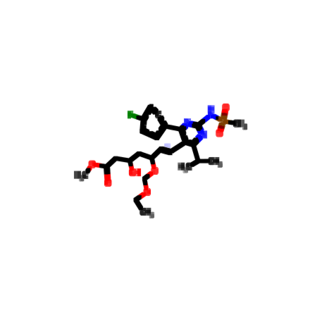 CCOCOC(/C=C/c1c(-c2ccc(F)cc2)nc(NS(C)(=O)=O)nc1C(C)C)CC(O)CC(=O)OC